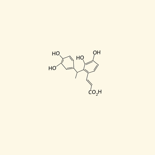 CC(c1ccc(O)c(O)c1)c1c(C=CC(=O)O)ccc(O)c1O